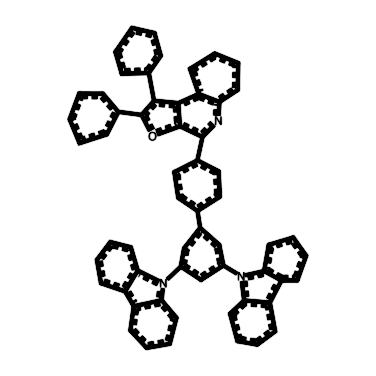 c1ccc(-c2oc3c(-c4ccc(-c5cc(-n6c7ccccc7c7ccccc76)cc(-n6c7ccccc7c7ccccc76)c5)cc4)nc4ccccc4c3c2-c2ccccc2)cc1